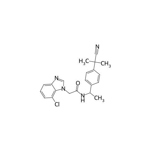 CC(NC(=O)Cn1cnc2cccc(Cl)c21)c1ccc(C(C)(C)C#N)cc1